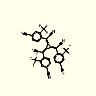 N#CC(=C1C(=C(C#N)c2ccc(C#N)cc2C(F)(F)F)C1=C(C#N)c1ccc(C#N)cc1C(F)(F)F)c1ccc(C#N)cc1C(F)(F)F